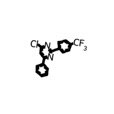 FC(F)(F)c1ccc(-c2nc(Cl)cc(-c3ccccc3)n2)cc1